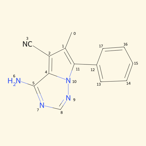 Cc1c(C#N)c2c(N)ncnn2c1-c1ccccc1